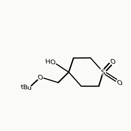 CC(C)(C)OCC1(O)CCS(=O)(=O)CC1